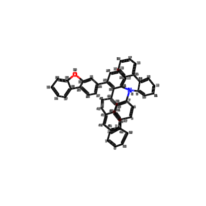 c1ccc(-c2ccc(N(c3ccccc3-c3ccccc3)c3cccc(-c4ccc5c(c4)oc4ccccc45)c3-c3ccc4ccccc4c3)cc2)cc1